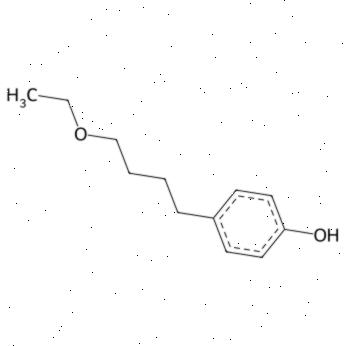 CCOCCCCc1ccc(O)cc1